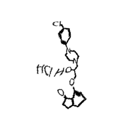 Cl.O=C1CCc2cccc(OCC(O)CN3CCN(c4ccc(Cl)cc4)CC3)c21